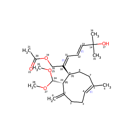 C=C1CC/C=C(\C)CC[C@H](/C(=C\C=C\C(C)(C)O)COC(C)=O)[C@H]1C(OC)OC